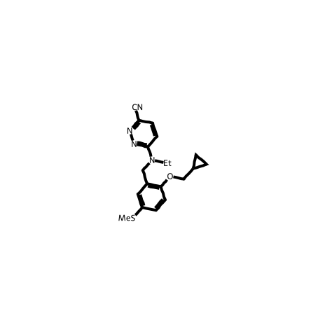 CCN(Cc1cc(SC)ccc1OCC1CC1)c1ccc(C#N)nn1